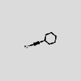 CC#CC1[CH]CCCC1